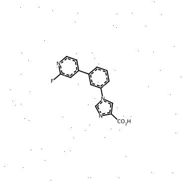 O=C(O)c1cn(-c2cccc(-c3ccnc(F)c3)c2)cn1